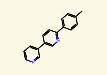 Cc1ccc(-c2ccc(-c3cccnc3)cn2)cc1